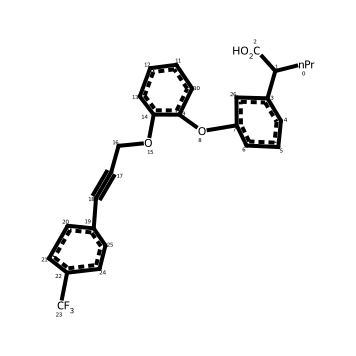 CCCC(C(=O)O)c1cccc(Oc2ccccc2OCC#Cc2ccc(C(F)(F)F)cc2)c1